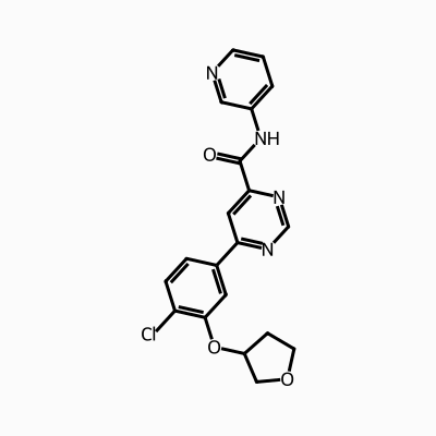 O=C(Nc1cccnc1)c1cc(-c2ccc(Cl)c(OC3CCOC3)c2)ncn1